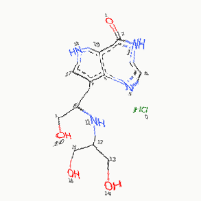 Cl.O=c1[nH]cnc2c(C(CO)NC(CO)CO)c[nH]c12